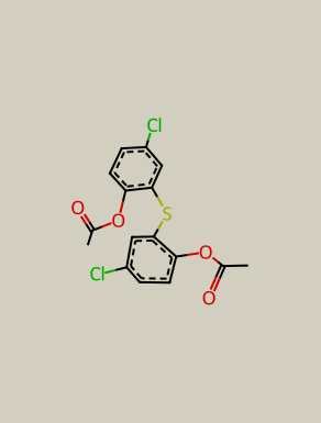 CC(=O)Oc1ccc(Cl)cc1Sc1cc(Cl)ccc1OC(C)=O